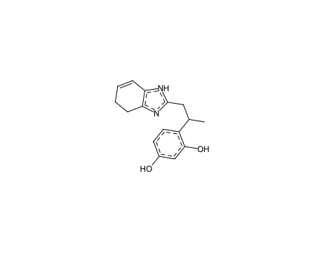 CC(Cc1nc2c([nH]1)C=CCC2)c1ccc(O)cc1O